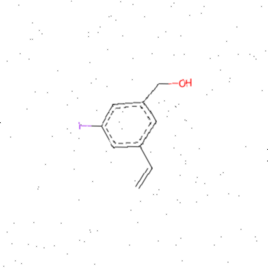 C=Cc1cc(I)cc(CO)c1